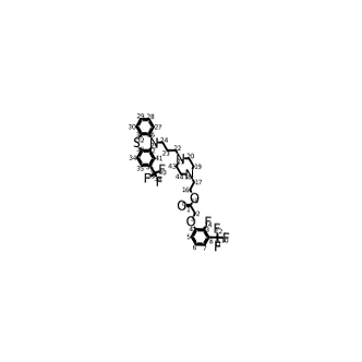 O=C(COc1cccc(C(F)(F)F)c1F)OCCN1CCN(CCCN2c3ccccc3Sc3ccc(C(F)(F)F)cc32)CC1